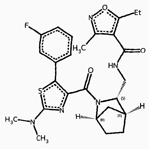 CCc1onc(C)c1C(=O)NC[C@@H]1[C@H]2CC[C@H](C2)N1C(=O)c1nc(N(C)C)sc1-c1cccc(F)c1